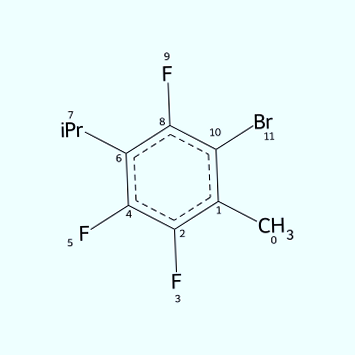 Cc1c(F)c(F)c(C(C)C)c(F)c1Br